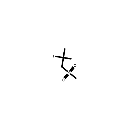 CC(F)(F)CS(C)(=O)=O